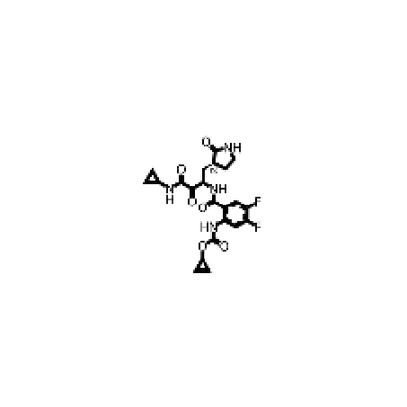 O=C(Nc1cc(F)c(F)cc1C(=O)NC(C[C@@H]1CCNC1=O)C(=O)C(=O)NC1CC1)OC1CC1